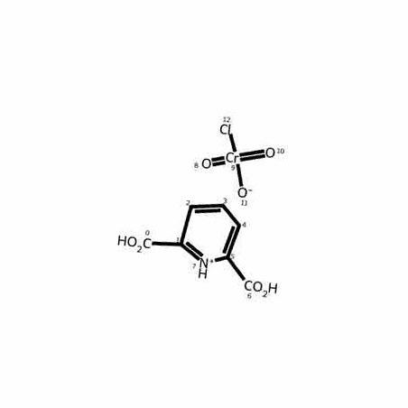 O=C(O)c1cccc(C(=O)O)[nH+]1.[O]=[Cr](=[O])([O-])[Cl]